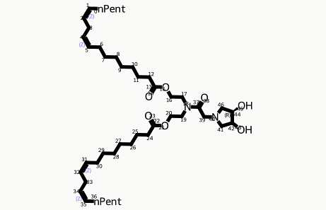 CCCCC/C=C\C/C=C\CCCCCCCC(=O)OCCN(CCOC(=O)CCCCCCC/C=C\C/C=C\CCCCC)C(=O)CN1CC(O)[C@H](O)C1